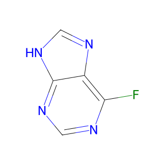 Fc1ncnc2[nH]cnc12